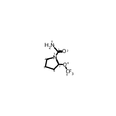 NC(=O)N1CCCC1OC(F)(F)F